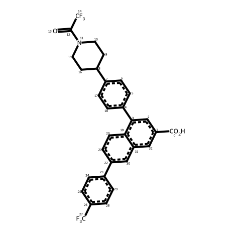 O=C(O)c1cc(-c2ccc(C3CCN(C(=O)C(F)(F)F)CC3)cc2)c2ccc(-c3ccc(C(F)(F)F)cc3)cc2c1